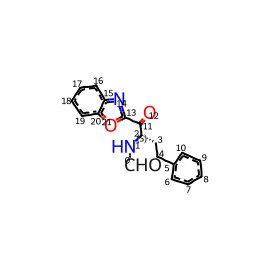 O=CN[C@@H](CCc1ccccc1)C(=O)c1nc2ccccc2o1